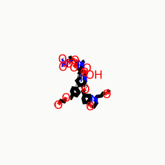 COCCCN1CCOc2ccc(CO[C@H]3CN(C(=O)O)[C@@H](CC(C)(C)C(=O)N(C)C(=O)OC(C)O[N+](=O)[O-])C[C@@H]3c3ccc(COCCOC)cc3)cc21